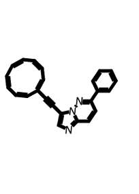 C(#Cc1cnc2ccc(-c3ccccc3)nn12)c1ccccccccc1